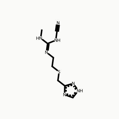 CNC(=NCCSCc1nc[nH]n1)NC#N